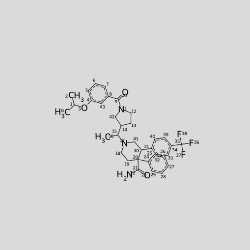 CC(C)Oc1cccc(C(=O)N2CCC(C(C)N3CCC(C(N)=O)(c4ccccc4)C(c4ccc(C(F)(F)F)cc4)C3)C2)c1